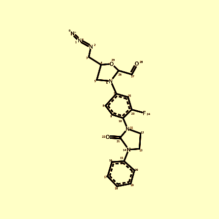 [N-]=[N+]=NCC1CN(c2ccc(N3CCN(c4ccccc4)C3=O)c(F)c2)C(C=O)O1